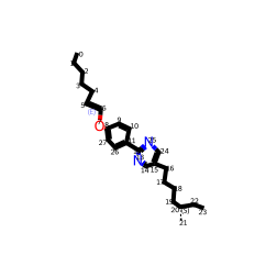 CCCCC/C=C/Oc1ccc(-c2ncc(CCCC[C@@H](C)CC)cn2)cc1